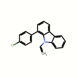 C=Cn1c2ccccc2c2cccc(-c3ccc(Cl)cc3)c21